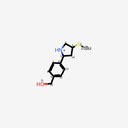 CC(C)(C)SC1CNC(c2ccc(CO)cc2)C1